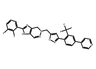 Fc1cccc(-c2nc3c([nH]2)C=NN(Cc2cc(-c4ccc(-c5ccncc5)cc4C(F)(F)F)no2)C3)c1F